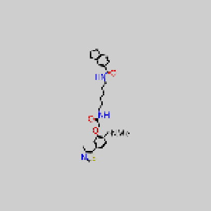 CNCc1ccc(-c2scnc2C)cc1OCC(=O)NCCCCCCNC(=O)c1ccc2c(c1)CCC2